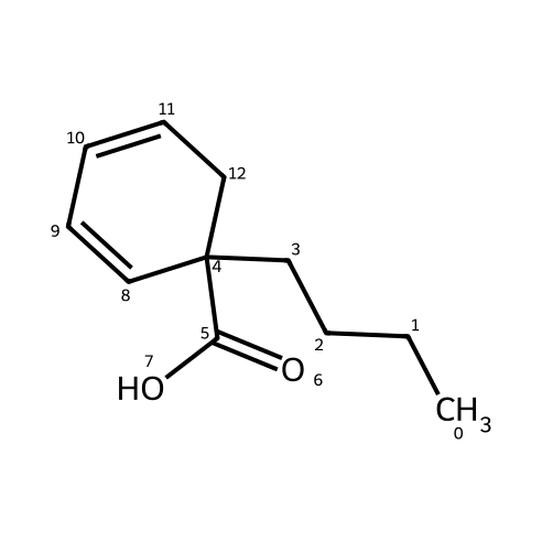 CCCCC1(C(=O)O)C=CC=CC1